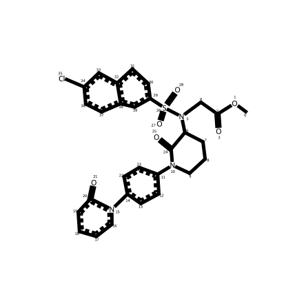 COC(=O)CN(C1CCCN(c2ccc(-n3ccccc3=O)cc2)C1=O)S(=O)(=O)c1ccc2cc(Cl)ccc2c1